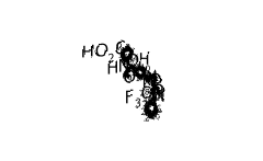 O=C(O)[C@@H]1CCC[C@@H](N[C@H]2COc3cc(-c4noc(-c5onc(-c6ccccc6)c5C(F)(F)F)n4)ccc3[C@H]2O)C1